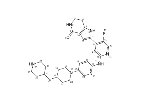 O=C1NCCc2[nH]c(-c3nc(Nc4ccc(N5CCC(CC6CCNCC6)CC5)cn4)ncc3F)cc21